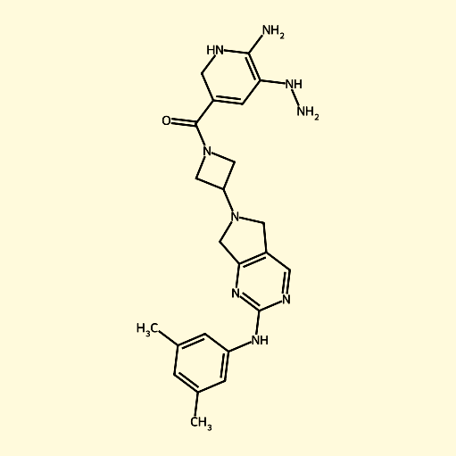 Cc1cc(C)cc(Nc2ncc3c(n2)CN(C2CN(C(=O)C4=CC(NN)=C(N)NC4)C2)C3)c1